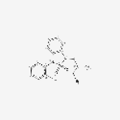 C[C@H](CBr)CN1c2ccccc2N(c2ccccc2F)S1(=O)=O